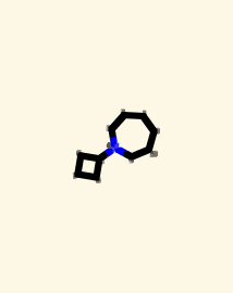 [CH]1CCCN(C2CCC2)CC1